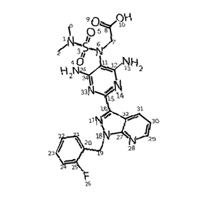 CN(C)S(=O)(=O)N(CC(=O)O)c1c(N)nc(-c2nn(Cc3ccccc3F)c3ncccc23)nc1N